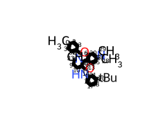 Cc1ccc(C(=O)N2CCCC(C(=O)Nc3cccc(C(C)(C)C)c3)C2c2ccc(N(C)C)cc2)c(C)c1